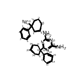 N#CC1(c2ccccc2)CCCCC1.Nc1nc(N)nc(C2(c3ccccc3)CCCCC2)n1